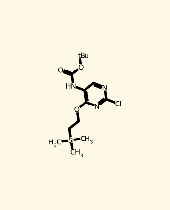 CC(C)(C)OC(=O)Nc1cnc(Cl)nc1OCC[Si](C)(C)C